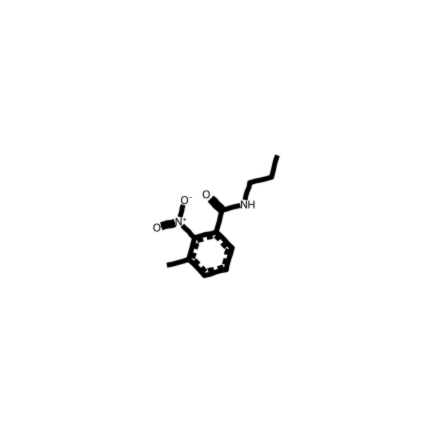 CCCNC(=O)c1cccc(C)c1[N+](=O)[O-]